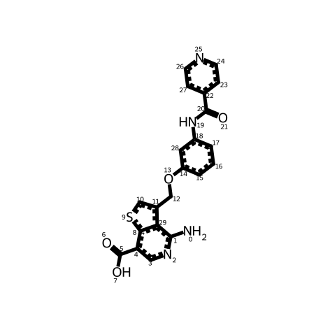 Nc1ncc(C(=O)O)c2scc(COc3cccc(NC(=O)c4ccncc4)c3)c12